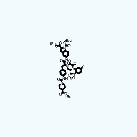 CC(C)(C)OC(=O)c1cc2cc(NC(=O)C(Cc3ccc(NC(=O)N4CCC(C(=O)OC(C)(C)C)CC4)cc3)N3CCN(c4cc(Cl)ccc4-n4cnnn4)C(=O)C3=O)ccc2n1C(=O)OC(C)(C)C